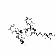 Cc1c(OCCO[Si](C)(C)C(C)(C)C)nn(-c2ccccc2)c1NC(=O)Nc1cc(C(F)(F)F)nn1-c1ccccc1